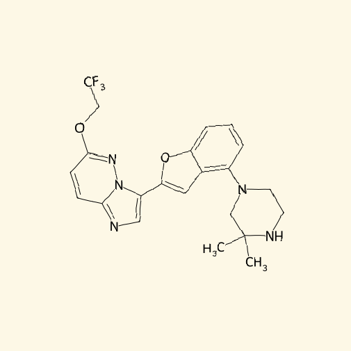 CC1(C)CN(c2cccc3oc(-c4cnc5ccc(OCC(F)(F)F)nn45)cc23)CCN1